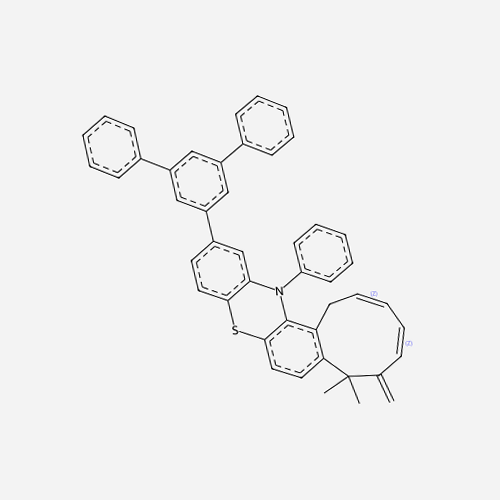 C=C1/C=C\C=C/Cc2c(ccc3c2N(c2ccccc2)c2cc(-c4cc(-c5ccccc5)cc(-c5ccccc5)c4)ccc2S3)C1(C)C